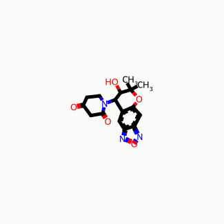 CC1(C)Oc2cc3nonc3cc2C(N2CCC(=O)CC2=O)C1O